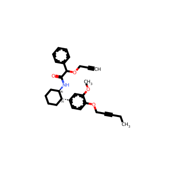 C#CCOC(C(=O)N[C@@H]1CCCC[C@H]1c1ccc(OCC#CCC)c(OC)c1)c1ccccc1